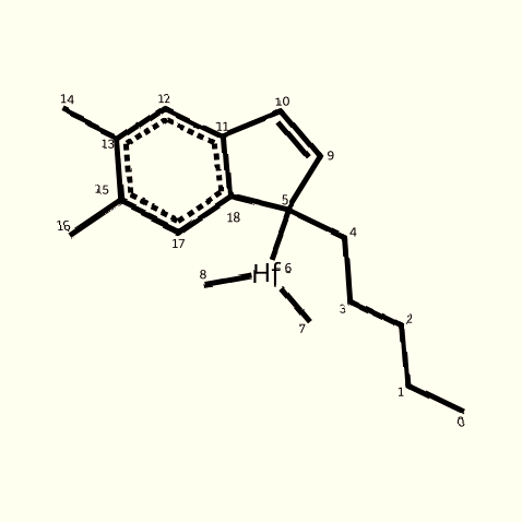 CCCCC[C]1([Hf]([CH3])[CH3])C=Cc2cc(C)c(C)cc21